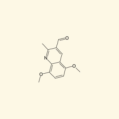 COc1ccc(OC)c2nc(C)c(C=O)cc12